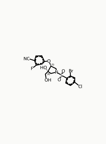 N#Cc1ccc(O[C@H]2CN(S(=O)(=O)c3ccc(Cl)cc3Br)C[C@@]2(O)CO)cc1F